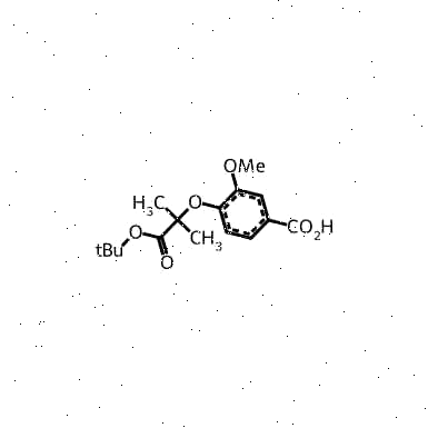 COc1cc(C(=O)O)ccc1OC(C)(C)C(=O)OC(C)(C)C